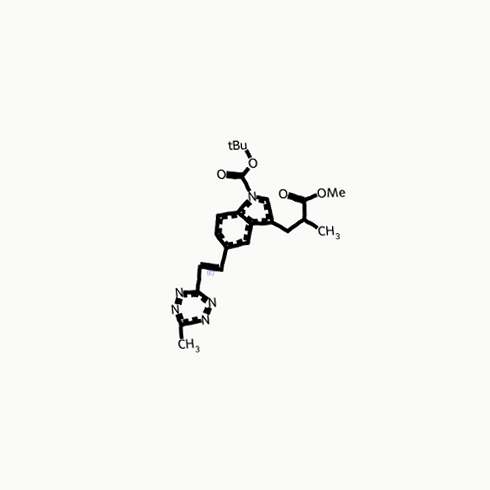 COC(=O)C(C)Cc1cn(C(=O)OC(C)(C)C)c2ccc(/C=C/c3nnc(C)nn3)cc12